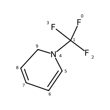 FC(F)(F)N1C=CC=CC1